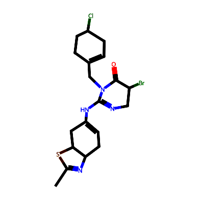 CC1=NC2CC=C(NC3=NCC(Br)C(=O)N3CC3=CCC(Cl)CC3)CC2S1